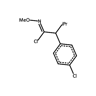 CON=C(Cl)C(c1ccc(Cl)cc1)C(C)C